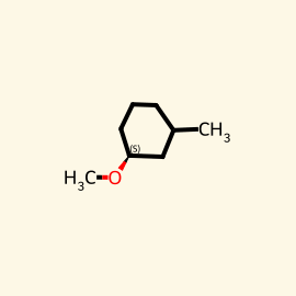 CO[C@H]1CCCC(C)C1